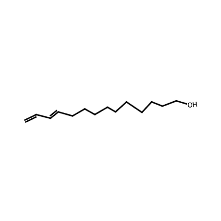 C=CC=CCCCCCCCCCCO